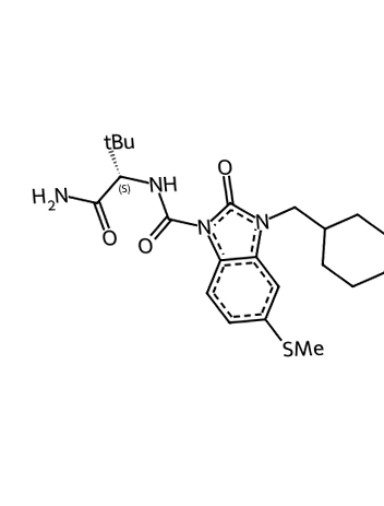 CSc1ccc2c(c1)n(CC1CCCCC1)c(=O)n2C(=O)N[C@H](C(N)=O)C(C)(C)C